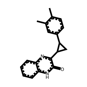 Cc1ccc(C2CC2c2nc3ccccc3[nH]c2=O)cc1C